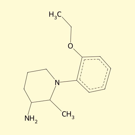 CCOc1ccccc1N1CCCC(N)C1C